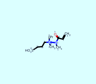 C=CC(=O)N(C)[N+](C)(CCC)CCCS(=O)(=O)O